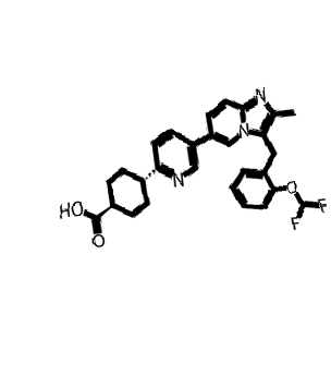 Cc1nc2ccc(-c3ccc([C@H]4CC[C@H](C(=O)O)CC4)nc3)cn2c1Cc1ccccc1OC(F)F